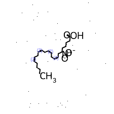 CCCCC/C=C\C/C=C\C/C=C\C/C=C\CC(CCCCC(=O)O)[N+](=O)[O-]